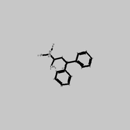 CC(CC(c1ccccc1)c1ccccc1)[SiH](F)F